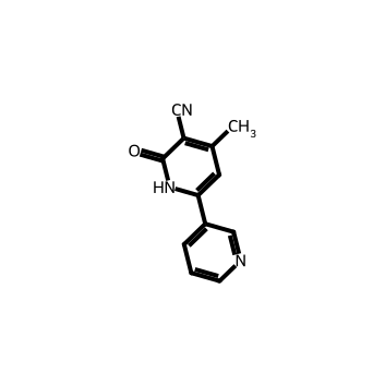 Cc1cc(-c2cccnc2)[nH]c(=O)c1C#N